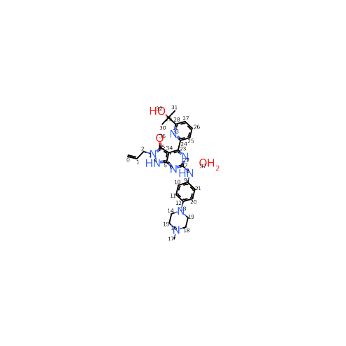 C=CCn1[nH]c2nc(Nc3ccc(N4CCN(C)CC4)cc3)nc(-c3cccc(C(C)(C)O)n3)c2c1=O.O